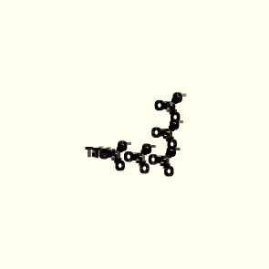 O=[Si]([O-])[O-].O=[Si]([O-])[O-].O=[Si]([O-])[O-].O=[Si]([O-])[O-].O=[Si]([O-])[O-].[Ta+5].[Ta+5]